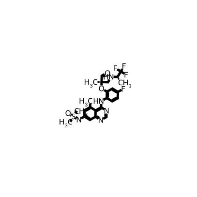 Cc1cc(N=S(C)(C)=O)cc2ncnc(Nc3ccc(F)cc3O[C@](C)(C=O)CN[C@H](C)C(F)(F)F)c12